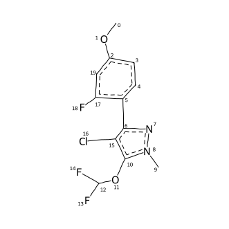 COc1ccc(-c2nn(C)c(OC(F)F)c2Cl)c(F)c1